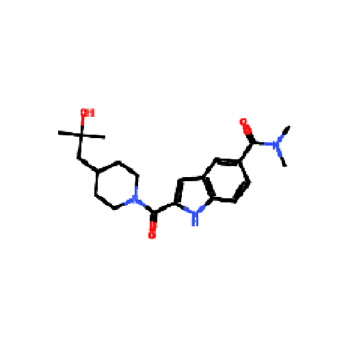 CN(C)C(=O)c1ccc2[nH]c(C(=O)N3CCC(CC(C)(C)O)CC3)cc2c1